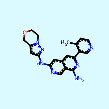 Cc1ccncc1-c1cc2cc(Nc3cc4n(n3)CCOC4)ncc2c(N)n1